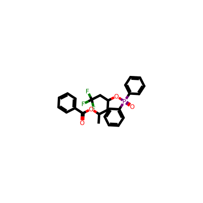 CC(CC(CC(F)(F)F)OP(=O)(c1ccccc1)c1ccccc1)OC(=O)c1ccccc1